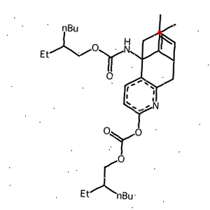 C/C=C1\C2C=C(C)CC1(NC(=O)OCC(CC)CCCC)c1ccc(OC(=O)OCC(CC)CCCC)nc1C2